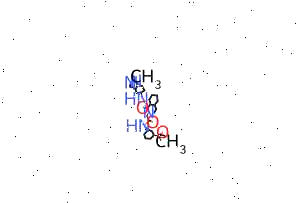 CC(=O)c1cccc(NC(=O)Cn2ccc3cccc(Nc4ccc5c(cnn5C)c4)c3c2=O)c1